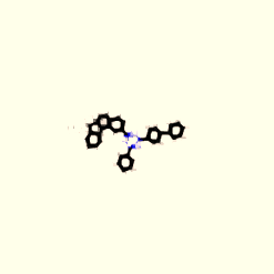 CC1(C)c2ccccc2-c2c1ccc1ccc(-c3nc(-c4ccccc4)nc(-c4ccc(-c5ccccc5)cc4)n3)cc21